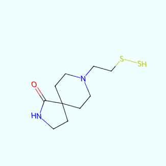 O=C1NCCC12CCN(CCSS)CC2